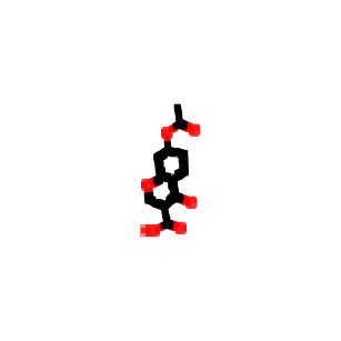 CC(=O)Oc1ccc2c(=O)c(C(=O)O)coc2c1